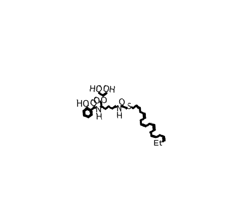 CC/C=C\C/C=C\C/C=C\C/C=C\C/C=C\C/C=C\CSCC(=O)NCCCCC(NC(=O)c1ccccc1O)C(=O)OC(CO)CO